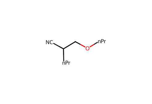 CCCOCC(C#N)CCC